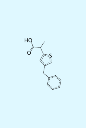 CC(C(=O)O)c1cc(Cc2ccccc2)cs1